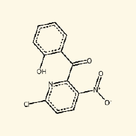 O=C(c1ccccc1O)c1nc(Cl)ccc1[N+](=O)[O-]